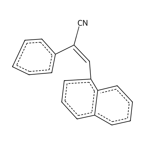 N#CC(=Cc1cccc2ccccc12)c1ccccc1